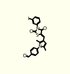 Cc1cc(C=C2SC(=O)N(c3cccc(I)c3)C2=O)c(C)n1-c1ccc(C=O)cc1